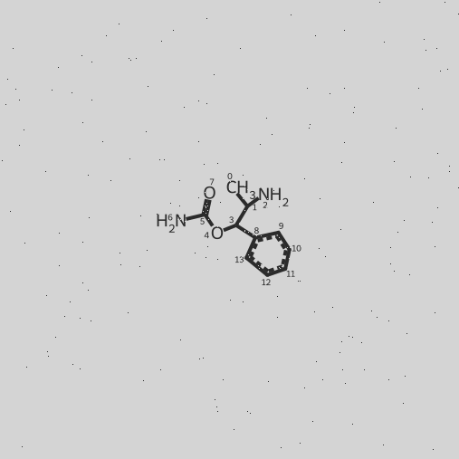 CC(N)C(OC(N)=O)c1ccccc1